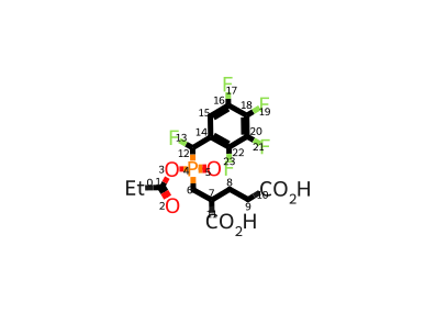 CCC(=O)OP(=O)(CC(CCC(=O)O)C(=O)O)C(F)c1cc(F)c(F)c(F)c1F